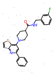 O=C(NCc1cccc(F)c1)C1CCN(c2cc(-c3ccccc3)nc3ccsc23)CC1